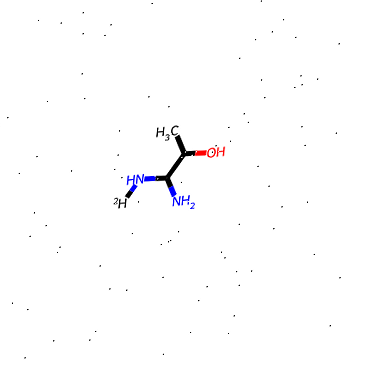 [2H]NC(N)C(C)O